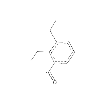 CCc1cccc([C]=O)c1CC